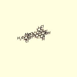 COCCCc1ccc(Cl)c(CN(C(=O)C2=C(c3ccc(OCCOc4c(Cl)cc(C)cc4Cl)cc3)CCN[C@@H]2CO)C2CC2)c1